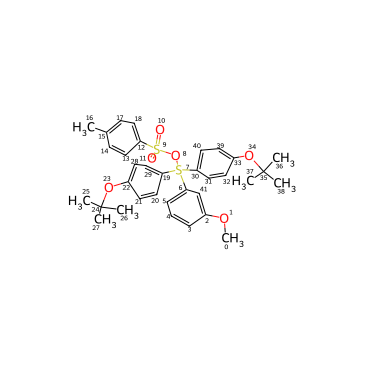 COc1cccc(S(OS(=O)(=O)c2ccc(C)cc2)(c2ccc(OC(C)(C)C)cc2)c2ccc(OC(C)(C)C)cc2)c1